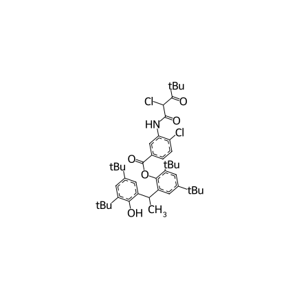 CC(c1cc(C(C)(C)C)cc(C(C)(C)C)c1O)c1cc(C(C)(C)C)cc(C(C)(C)C)c1OC(=O)c1ccc(Cl)c(NC(=O)C(Cl)C(=O)C(C)(C)C)c1